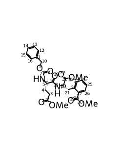 COC(=O)CC[C@H](NC(=O)OCc1ccccc1)C(=O)N[C@@H](Cc1ccccc1C(=O)OC)C(=O)OC